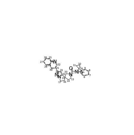 O=C(NC1(c2ccccc2)CC1)N1CCC2(CCn3nc(-c4cnc5ccccc5c4)cc32)C1